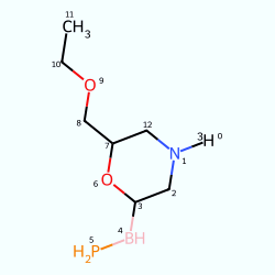 [3H]N1CC(BP)OC(COCC)C1